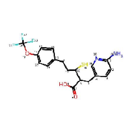 Nc1ccc(CC(C(=O)O)C(S)CCc2ccc(OC(F)(F)F)cc2)cn1